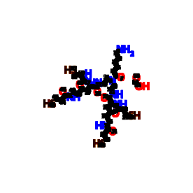 NCCCCCC(=O)N(CCNC(=O)C(CCCCNC(=O)CCS)NC(=O)CCS)CCNC(=O)C(CCCCNC(=O)CCS)NC(=O)CCS.O=CO